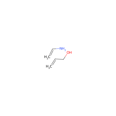 C=CCO.C=CN